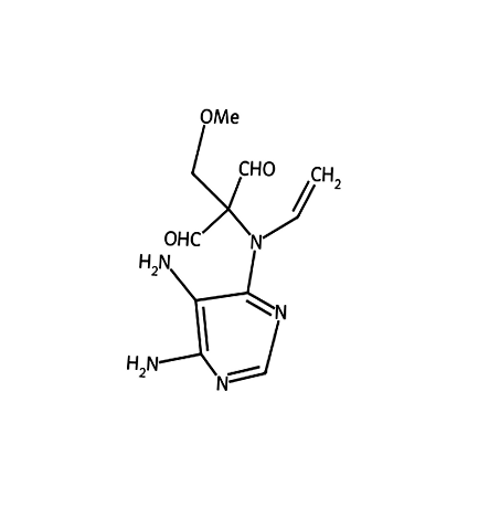 C=CN(c1ncnc(N)c1N)C(C=O)(C=O)COC